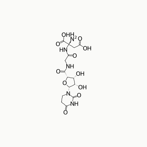 N[C@@](CC(=O)O)(NC(=O)CNC(=O)[C@H]1O[C@@H](N2CCC(=O)NC2=O)[C@@H](O)[C@H]1O)C(=O)O